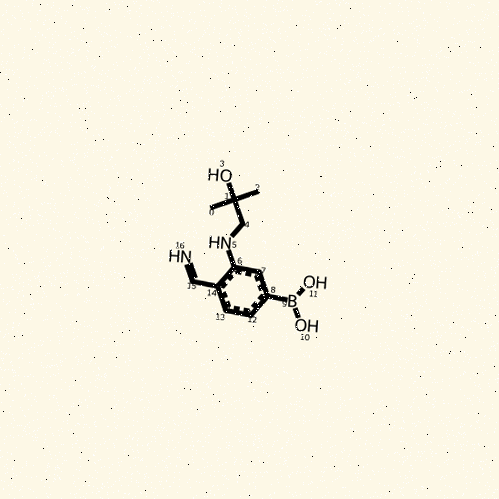 CC(C)(O)CNc1cc(B(O)O)ccc1C=N